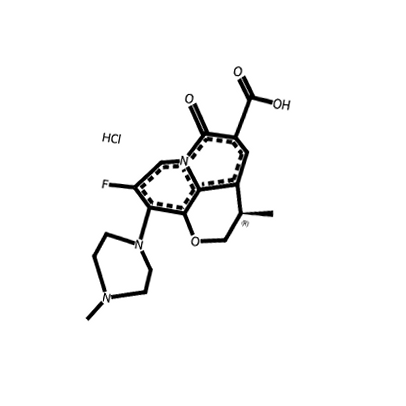 C[C@H]1COc2c(N3CCN(C)CC3)c(F)cn3c(=O)c(C(=O)O)cc1c23.Cl